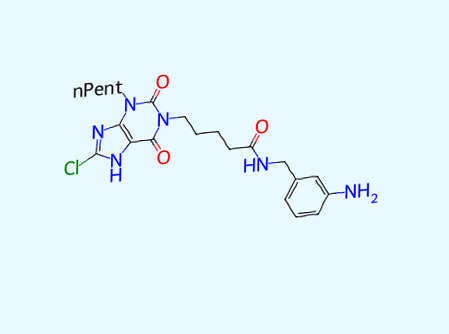 CCCCCn1c(=O)n(CCCCC(=O)NCc2cccc(N)c2)c(=O)c2[nH]c(Cl)nc21